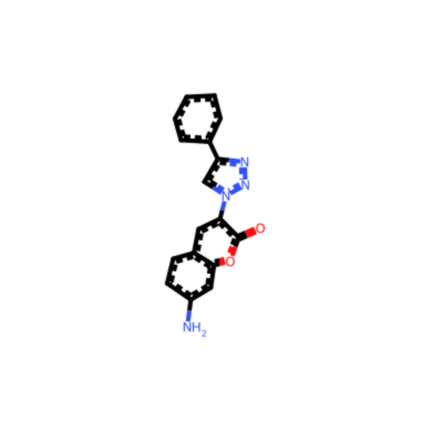 Nc1ccc2cc(-n3cc(-c4ccccc4)nn3)c(=O)oc2c1